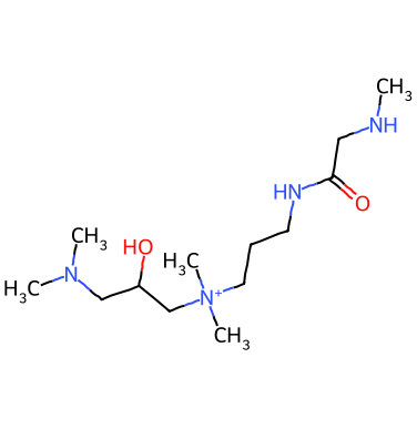 CNCC(=O)NCCC[N+](C)(C)CC(O)CN(C)C